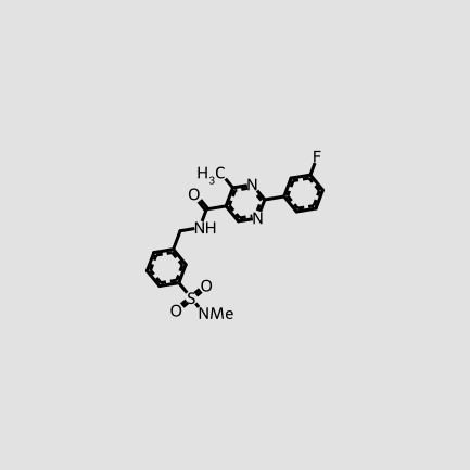 CNS(=O)(=O)c1cccc(CNC(=O)c2cnc(-c3cccc(F)c3)nc2C)c1